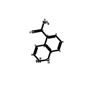 NC(=O)c1cccc2c1C=CNO2